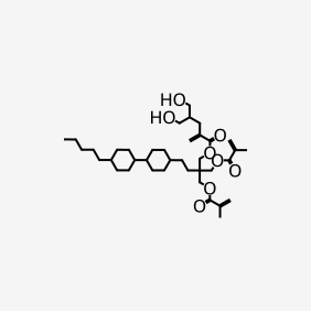 C=C(C)C(=O)OCC(CCC1CCC(C2CCC(CCCCC)CC2)CC1)(COC(=O)C(=C)C)COC(=O)C(=C)CC(CO)CO